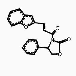 O=C(C=Cc1cc2ccccc2o1)N1C(=O)OCC1c1ccccc1